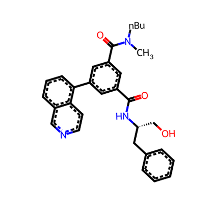 CCCCN(C)C(=O)c1cc(C(=O)N[C@H](CO)Cc2ccccc2)cc(-c2cccc3cnccc23)c1